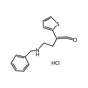 Cl.O=C=C(CCNCc1ccccc1)c1cccs1